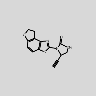 C#CC1CNC(=O)N1c1nc2c3c(ccc2s1)OCC3